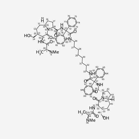 CN[C@@H](C)C(=O)N[C@@H]1C(=O)N2[C@@H](CC[C@@H]1CO)CC[C@H]2C(=O)NC(C(=O)NCCCCCCCCNC(=O)C(NC(=O)[C@@H]1CC[C@@H]2CC[C@H](CO)[C@H](NC(=O)[C@H](C)NC)C(=O)N21)(c1ccccc1)c1ccccc1)(c1ccccc1)c1ccccc1